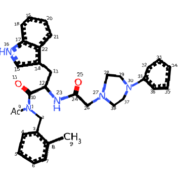 CC(=O)N(Cc1ccccc1C)C(=O)C(Cc1c[nH]c2ccccc12)NC(=O)CN1CCN(c2ccccc2)CC1